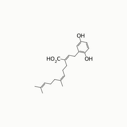 CC(C)=CCCC(C)=CCCC(=CCc1cc(O)ccc1O)C(=O)O